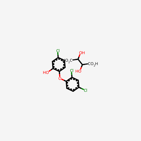 O=C(O)C(O)C(O)C(=O)O.Oc1cc(Cl)ccc1Oc1ccc(Cl)cc1Cl